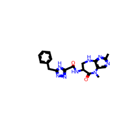 Cc1ncc2c(n1)NCC(NC(=O)c1nnc(Cc3ccccc3)[nH]1)C(=O)N2C